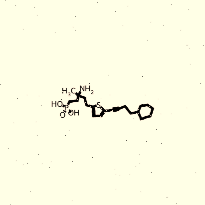 CC(N)(CCc1ccc(C#CCCC2CCCCC2)s1)CCP(=O)(O)O